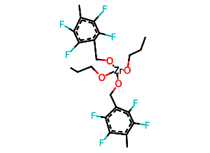 CCC[O][Zr]([O]CCC)([O]Cc1c(F)c(F)c(C)c(F)c1F)[O]Cc1c(F)c(F)c(C)c(F)c1F